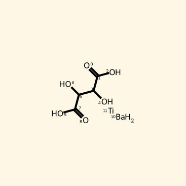 O=C(O)C(O)C(O)C(=O)O.[BaH2].[Ti]